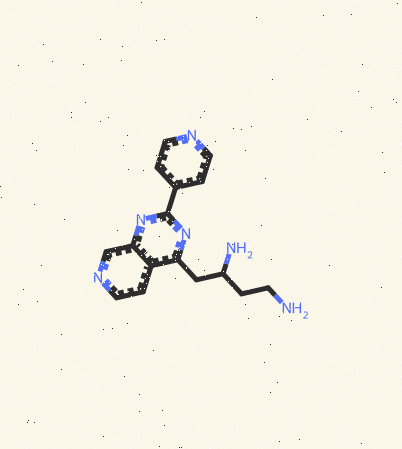 NCCC(N)Cc1nc(-c2ccncc2)nc2cnccc12